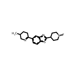 CC1CCC(c2ccc3sc(C4CCN(F)CC4)nc3c2)=NC1